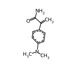 C=C(C(N)=O)c1ccc(N(C)C)cc1